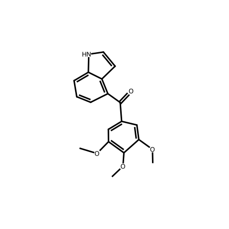 COc1cc(C(=O)c2cccc3[nH]ccc23)cc(OC)c1OC